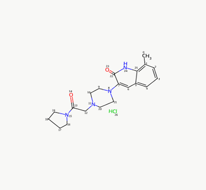 Cc1cccc2cc(N3CCN(CC(=O)N4CCCC4)CC3)c(=O)[nH]c12.Cl